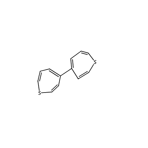 C1=CSC=CC(C2=CC=CSC=C2)=C1